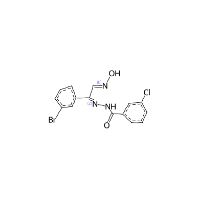 O=C(N/N=C(\C=N\O)c1cccc(Br)c1)c1cccc(Cl)c1